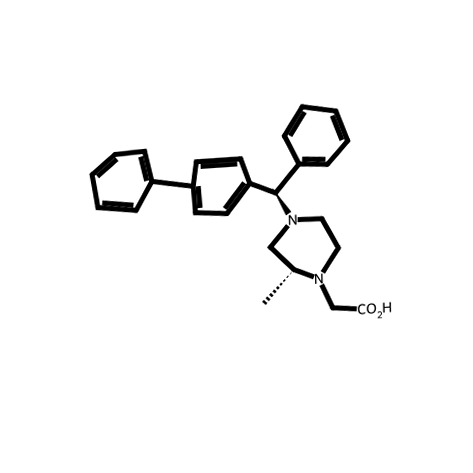 C[C@@H]1CN([C@H](c2ccccc2)c2ccc(-c3ccccc3)cc2)CCN1CC(=O)O